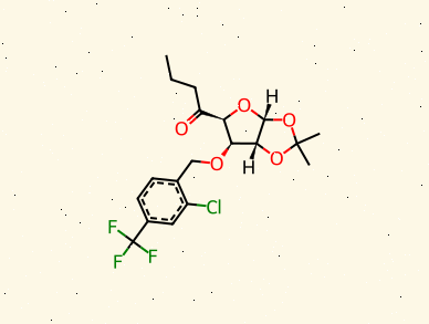 CCCC(=O)[C@H]1O[C@@H]2OC(C)(C)O[C@@H]2[C@H]1OCc1ccc(C(F)(F)F)cc1Cl